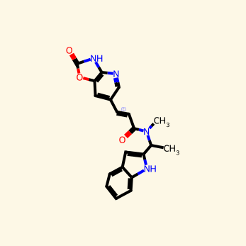 CC(c1cc2ccccc2[nH]1)N(C)C(=O)/C=C/c1cnc2[nH]c(=O)oc2c1